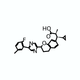 Cc1ccc(F)c(-c2cnc(C3CCc4ccc([C@H](C5CC5)[C@H](C)C(=O)O)cc4O3)cn2)c1